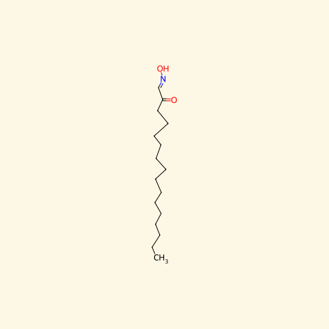 CCCCCCCCCCCCCCC(=O)C=NO